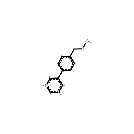 COCc1ccc(-c2cncnc2)cc1